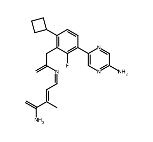 C=C(Cc1c(C2CCC2)ccc(-c2cnc(N)cn2)c1F)/N=C\C=C(/C)C(=C)N